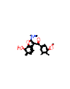 COc1cc(C(=O)c2c(N(C)C)oc3c(O)c(C)ccc23)cc(C)c1C